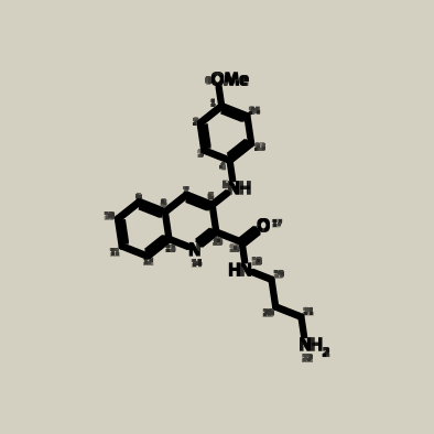 COc1ccc(Nc2cc3ccccc3nc2C(=O)NCCCN)cc1